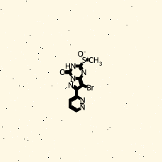 C[S+]([O-])c1nc2c(Br)c(-c3cccnn3)nn2c(=O)[nH]1